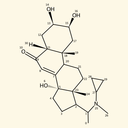 CC(C1CC[C@@]2(O)C3=CC(=O)[C@@H]4C[C@@H](O)[C@@H](O)C[C@]4(C)C3CC[C@]12C)N(C)C1CC1